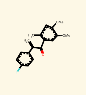 C=C(C(=O)c1cc(OC)c(OC)cc1C)c1ccc(F)cc1